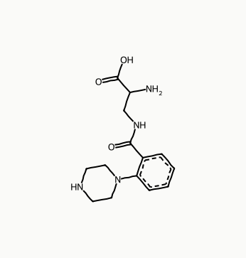 NC(CNC(=O)c1ccccc1N1CCNCC1)C(=O)O